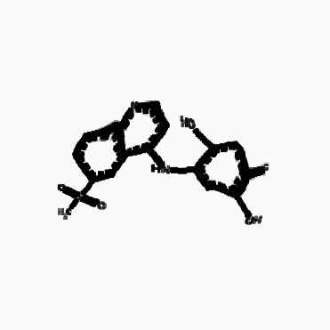 CS(=O)(=O)c1ccc2nccc(Nc3cc(O)c(F)cc3O)c2c1